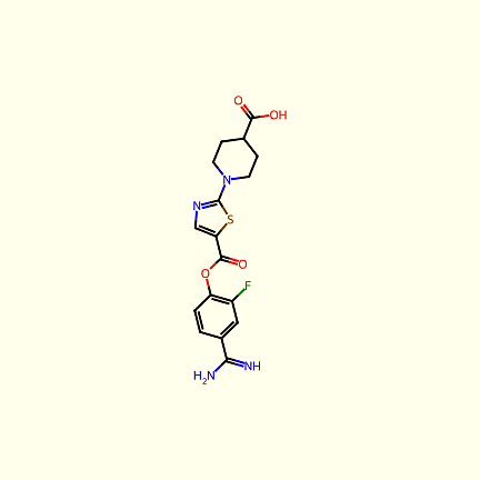 N=C(N)c1ccc(OC(=O)c2cnc(N3CCC(C(=O)O)CC3)s2)c(F)c1